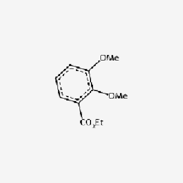 CCOC(=O)c1cccc(OC)c1OC